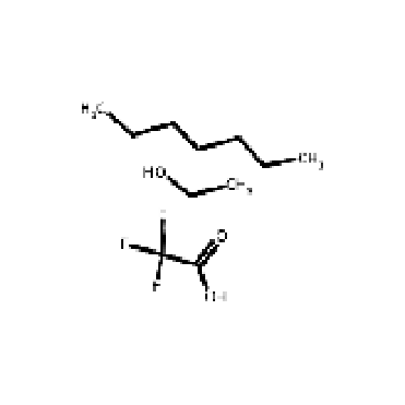 CCCCCCC.CCO.O=C(O)C(F)(F)F